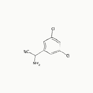 N#CC(N)c1cc(Cl)cc(Cl)c1